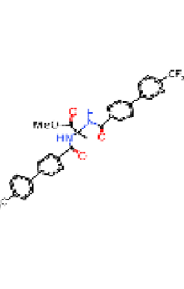 COC(=O)C(C)(NC(=O)c1ccc(-c2ccc(C(F)(F)F)cc2)cc1)NC(=O)c1ccc(-c2ccc(C(F)(F)F)cc2)cc1